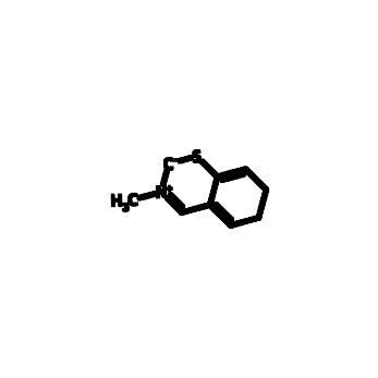 C[N+]1=CC2=CCCC=C2S[CH-]1